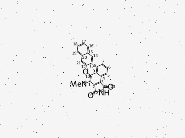 CNc1c2c(c3ccccc3c1Oc1ccc3ccccc3c1)C(=O)NC2=O